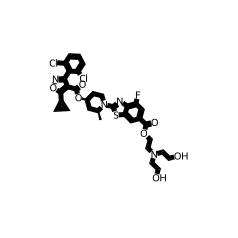 C[C@H]1C[C@@H](OC(=O)c2c(-c3c(Cl)cccc3Cl)noc2C2CC2)CCN1c1nc2c(F)cc(C(=O)OCCN(CCO)CCO)cc2s1